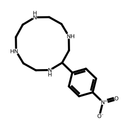 O=[N+]([O-])c1ccc(C2CNCCNCCNCCN2)cc1